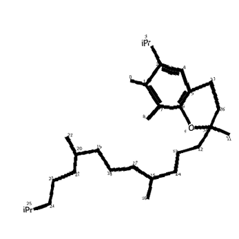 Cc1c(C(C)C)cc2c(c1C)OC(C)(CCCC(C)CCCC(C)CCCC(C)C)CC2